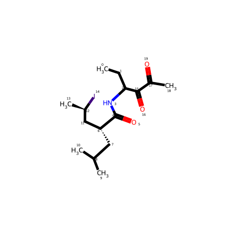 CCC(NC(=O)[C@H](CC(C)C)C[C@@H](C)I)C(=O)C(C)=O